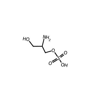 NC(CO)COS(=O)(=O)O